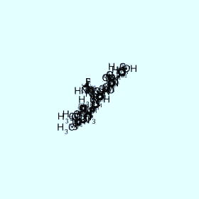 COc1cc(CN2CCN(C3CC4(CCN(c5ccc(C(=O)NS(=O)(=O)c6cnc(NCC7CCC(C)(O)CC7)c([N+](=O)[O-])c6)c(Oc6cc7c(F)c[nH]c7nc6OC)c5)CC4)C3)[C@H](c3ccccc3C(C)C)C2)cc(SC)n1